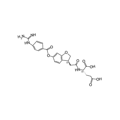 N=C(N)Nc1ccc(C(=O)Oc2ccc3c(c2)OC[C@H]3CC(=O)N[C@@H](CCC(=O)O)C(=O)O)cc1